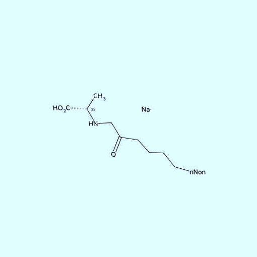 CCCCCCCCCCCCCC(=O)CN[C@@H](C)C(=O)O.[Na]